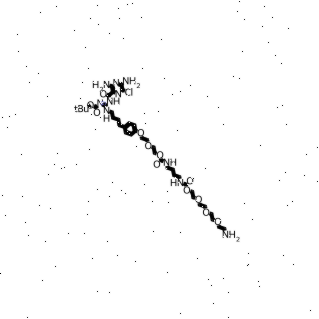 CC(C)(C)OC(=O)/N=C(\NCCCCc1ccc(OCCOCCOC(=O)NCCCCNC(=O)OCCOCCOCCOCCN)cc1)NC(=O)c1nc(Cl)c(N)nc1N